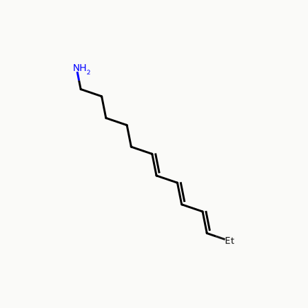 CCC=CC=CC=CCCCCCN